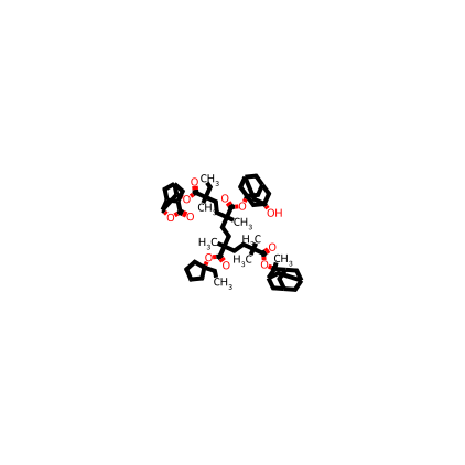 CCC1(OC(=O)C(C)(CCC(C)(C)C(=O)OC2(C)C3CC4CC(C3)CC2C4)CCC(C)(CCC(C)(CC)C(=O)OC2C3CC4C(=O)OC2C4C3)C(=O)OC23CC4CC(CC(O)(C4)C2)C3)CCCC1